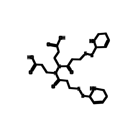 O=C(O)CCN(C(=O)CCSSC1C=CCCN1)N(CCC(=O)O)C(=O)CCSSC1C=CCCN1